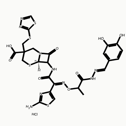 CC(ON=C(C(=O)NC1C(=O)N2CC(CSc3nncs3)(C(=O)O)CS[C@H]12)c1csc(N)n1)C(=O)NN=Cc1ccc(O)c(O)c1.Cl